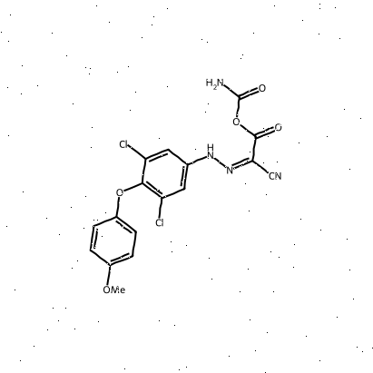 COc1ccc(Oc2c(Cl)cc(N/N=C(/C#N)C(=O)OC(N)=O)cc2Cl)cc1